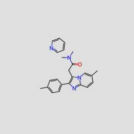 Cc1ccc(-c2nc3ccc(C)cn3c2CC(=O)N(C)C)cc1.c1ccncc1